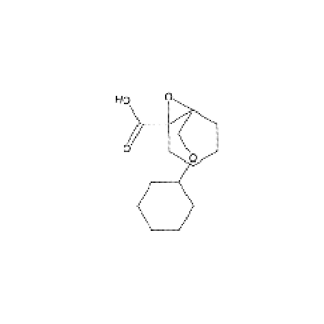 O=C(O)C12CCCCC1(COC1CCCCC1)O2